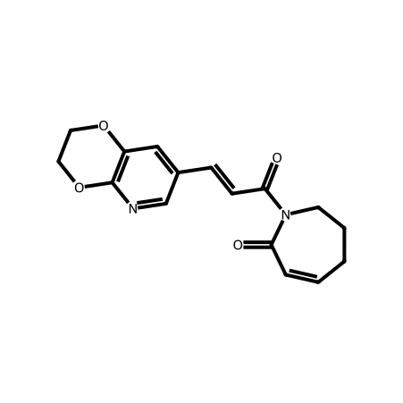 O=C1C=CCCCN1C(=O)C=Cc1cnc2c(c1)OCCO2